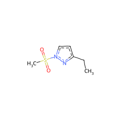 CCc1ccn(S(C)(=O)=O)n1